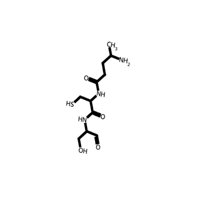 CC(N)CCC(=O)NC(CS)C(=O)NC(C=O)CO